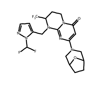 O=c1cc(N2CC3CCC(C2)O3)nc2n1CCC(C(F)(F)F)N2Cc1ccnn1C(F)F